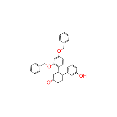 O=C1CCC(c2cccc(O)c2)C(c2ccc(OCc3ccccc3)cc2OCc2ccccc2)C1